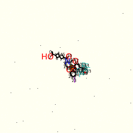 C=C(O)C1CC2(C1)CC(C(=O)N1CCCC3(S(=O)(=O)c4ccc(I)cc4)c4ccc(C(F)(C(F)(F)F)C(F)(F)F)cc4OCC13)C2